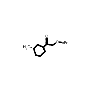 CCCOCC(=O)C1CCC[C@H](C)C1